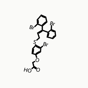 O=C(O)COc1ccc(SCC=C(c2ccccc2Br)c2ccccc2Br)c(Br)c1